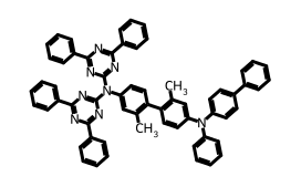 Cc1cc(N(c2ccccc2)c2ccc(-c3ccccc3)cc2)ccc1-c1ccc(N(c2nc(-c3ccccc3)nc(-c3ccccc3)n2)c2nc(-c3ccccc3)nc(-c3ccccc3)n2)cc1C